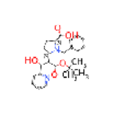 CC(C)(C)OC(=O)C(C(O)c1ccccn1)[C@H]1CC[C@@H](C(=O)O)N1Cc1ccccc1